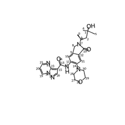 C[C@@H](CC(C)(C)O)N1Cc2cc(NC(=O)c3cnn4cccnc34)c(N3CCOCC3)cc2C1=O